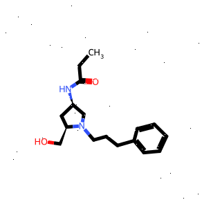 CCC(=O)N[C@@H]1C[C@H](CO)N(CCCc2ccccc2)C1